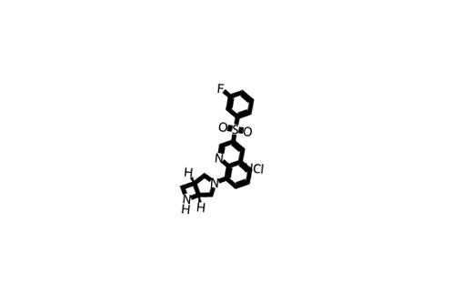 Cl.O=S(=O)(c1cccc(F)c1)c1cnc2c(N3C[C@H]4CN[C@H]4C3)cccc2c1